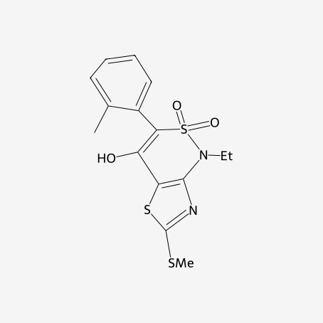 CCN1c2nc(SC)sc2C(O)=C(c2ccccc2C)S1(=O)=O